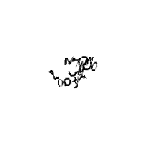 CCC1CN(c2cc(=O)n(C)c3ccc(C#N)nc23)[C@@H](C)CN1C(CC)c1ccc(OCCC2CC2)cc1